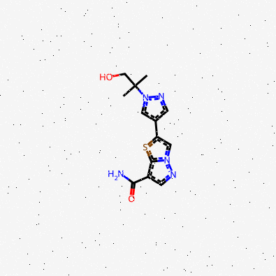 CC(C)(CO)n1cc(-c2cn3ncc(C(N)=O)c3s2)cn1